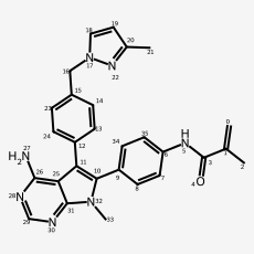 C=C(C)C(=O)Nc1ccc(-c2c(-c3ccc(Cn4ccc(C)n4)cc3)c3c(N)ncnc3n2C)cc1